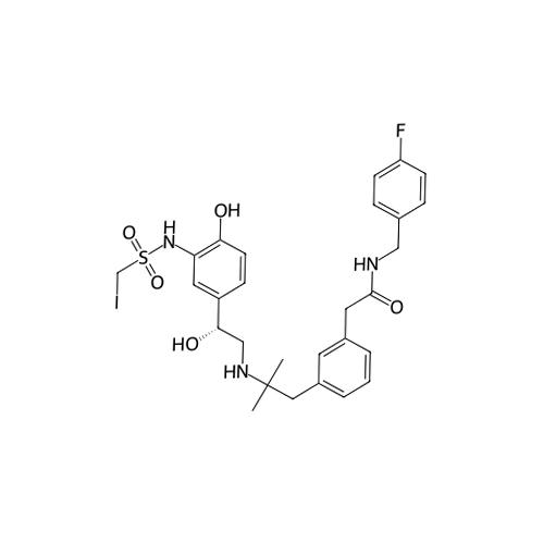 CC(C)(Cc1cccc(CC(=O)NCc2ccc(F)cc2)c1)NC[C@H](O)c1ccc(O)c(NS(=O)(=O)CI)c1